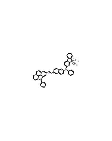 CC1(C)c2ccccc2-c2ccc(N(c3ccccc3)c3ccc4cc(/C=C/c5cc6ccc7cccc8c7c6c(c5)n8-c5ccccc5)ccc4c3)cc21